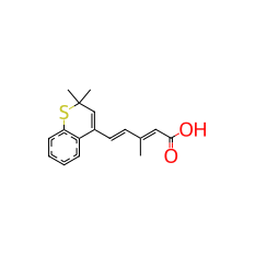 CC(/C=C/C1=CC(C)(C)Sc2ccccc21)=C\C(=O)O